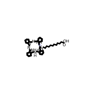 O=C(O)CCCCCCCCCCCNC12N=C(Nc3[nH]c(c4ccccc34)N=C3N=C(N=c4[nH]/c(c5ccccc45)=N\1)c1ccccc13)c1ccccc12